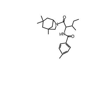 CCC(C)C(NC(=O)c1ccc(C)cc1)C(=O)N1CC2(C)CC1CC(C)(C)C2